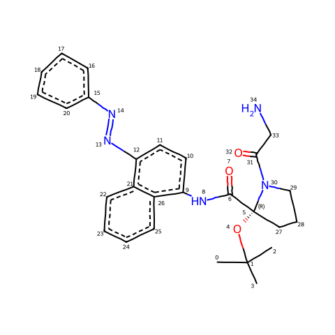 CC(C)(C)O[C@@]1(C(=O)Nc2ccc(N=Nc3ccccc3)c3ccccc23)CCCN1C(=O)CN